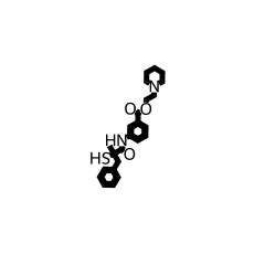 CC(S)(Cc1ccccc1)C(=O)Nc1cccc(C(=O)OCCN2CCCCC2)c1